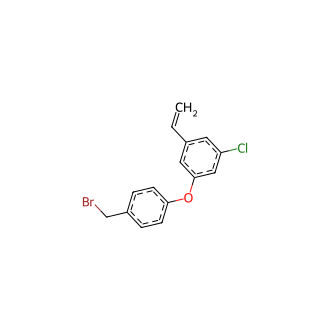 C=Cc1cc(Cl)cc(Oc2ccc(CBr)cc2)c1